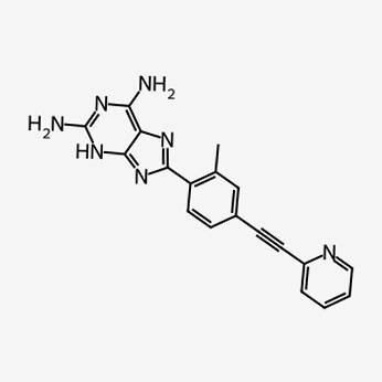 Cc1cc(C#Cc2ccccn2)ccc1-c1nc2[nH]c(N)nc(N)c-2n1